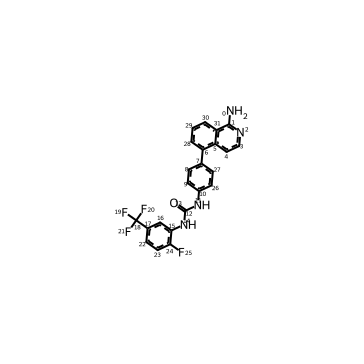 Nc1nccc2c(-c3ccc(NC(=O)Nc4cc(C(F)(F)F)ccc4F)cc3)cccc12